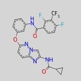 O=C(Nc1cccc(Oc2ccc3nc(NC(=O)C4CC4)cn3n2)c1)c1ccc(F)c(C(F)(F)F)c1F